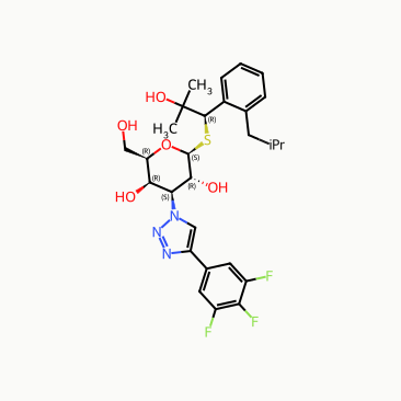 CC(C)Cc1ccccc1[C@@H](S[C@@H]1O[C@H](CO)[C@H](O)[C@H](n2cc(-c3cc(F)c(F)c(F)c3)nn2)[C@H]1O)C(C)(C)O